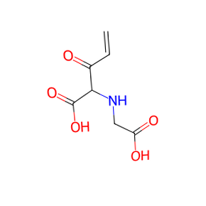 C=CC(=O)C(NCC(=O)O)C(=O)O